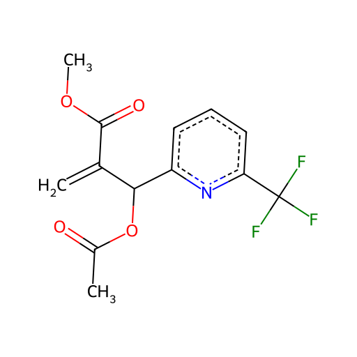 C=C(C(=O)OC)C(OC(C)=O)c1cccc(C(F)(F)F)n1